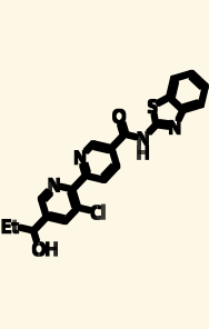 CCC(O)c1cnc(-c2ccc(C(=O)Nc3nc4ccccc4s3)cn2)c(Cl)c1